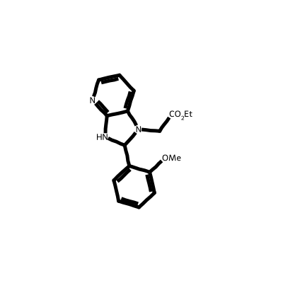 CCOC(=O)CN1c2cccnc2NC1c1ccccc1OC